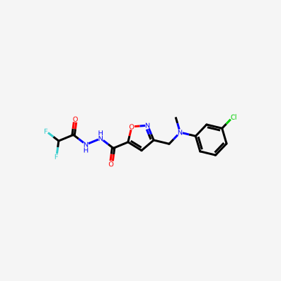 CN(Cc1cc(C(=O)NNC(=O)C(F)F)on1)c1cccc(Cl)c1